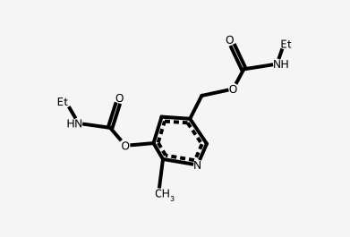 CCNC(=O)OCc1cnc(C)c(OC(=O)NCC)c1